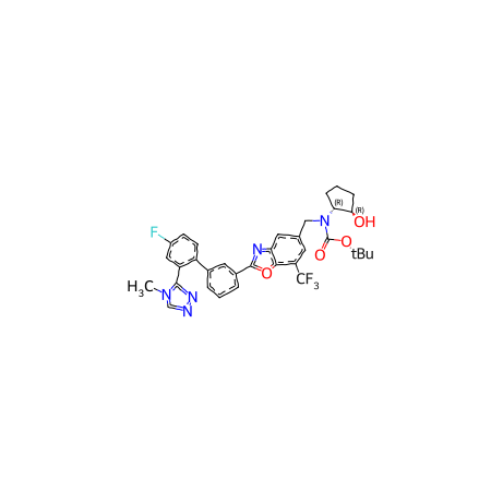 Cn1cnnc1-c1cc(F)ccc1-c1cccc(-c2nc3cc(CN(C(=O)OC(C)(C)C)[C@@H]4CCC[C@H]4O)cc(C(F)(F)F)c3o2)c1